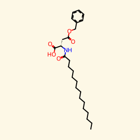 CCCCCCCCCCCCCCC(=O)N[C@@H](CC(=O)OCc1ccccc1)C(=O)O